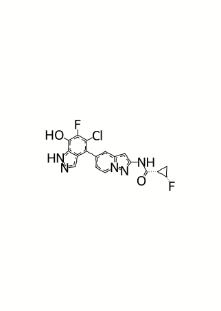 O=C(Nc1cc2cc(-c3c(Cl)c(F)c(O)c4[nH]ncc34)ccn2n1)[C@@H]1C[C@@H]1F